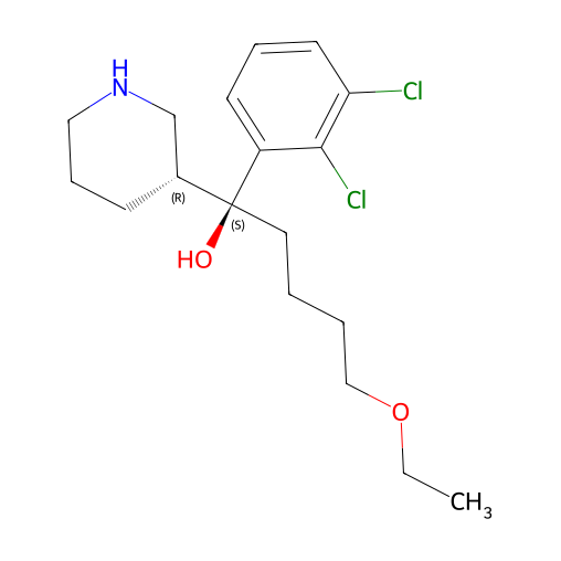 CCOCCCC[C@@](O)(c1cccc(Cl)c1Cl)[C@@H]1CCCNC1